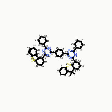 CC1(C)C2=C(C=CCC2)Sc2c(-c3nc(-c4ccccc4)nc(-c4ccc(-c5nc(-c6ccccc6)nc(-c6cccc7sc8c#cccc8c67)n5)cc4)n3)cccc21